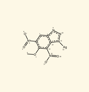 COc1c([N+](=O)[O-])cc2nn[n]([Ag])c2c1[N+](=O)[O-]